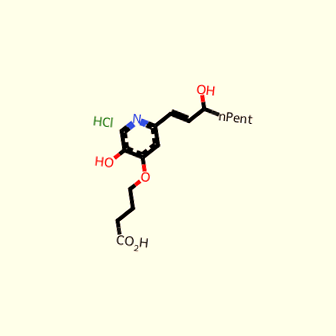 CCCCCC(O)C=Cc1cc(OCCCC(=O)O)c(O)cn1.Cl